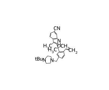 C=Cc1ccc(CN2CCN(C(C)(C)C)CC2)cc1C(C)(C)c1[nH]c2cc(C#N)ccc2c1C